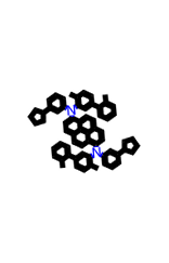 Cc1ccccc1-c1ccc(C)c(N(c2cccc(C3CCCC3)c2)c2ccc3ccc4c(N(c5cccc(C6CCCC6)c5)c5cc(-c6ccccc6C)ccc5C)ccc5ccc2c3c54)c1